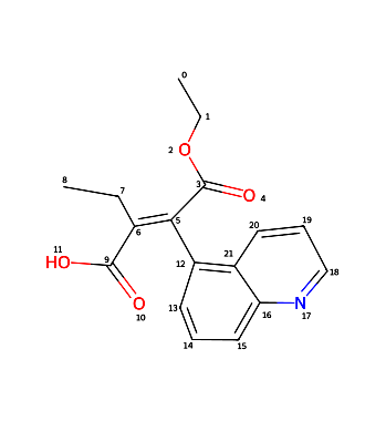 CCOC(=O)C(=C(CC)C(=O)O)c1cccc2ncccc12